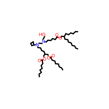 CCCCCCCCC(CCCCCC)COC(=O)CCCCCN(CCO)CCN(CCCCC(COC(=O)CCCCCCC)COC(=O)CCCCCCC)C1CCC1